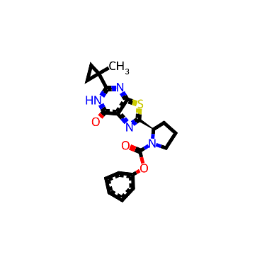 CC1(c2nc3sc([C@H]4CCCN4C(=O)Oc4ccccc4)nc3c(=O)[nH]2)CC1